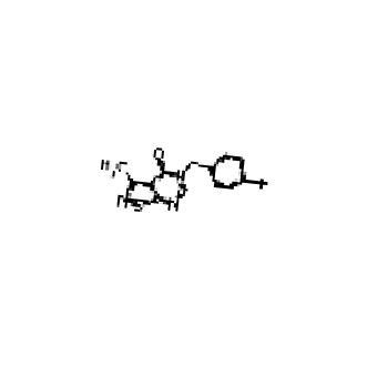 Cc1nsc2ncn(Cc3ccc(F)cc3)c(=O)c12